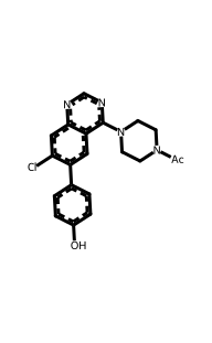 CC(=O)N1CCN(c2ncnc3cc(Cl)c(-c4ccc(O)cc4)cc23)CC1